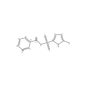 Cc1ccc(S(=O)(=O)CNc2cccnc2)s1